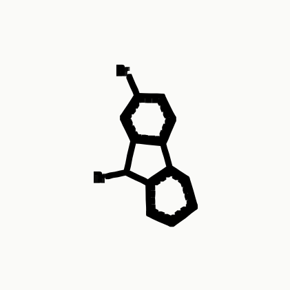 Brc1ccc2c(c1)C(Br)c1ccccc1-2